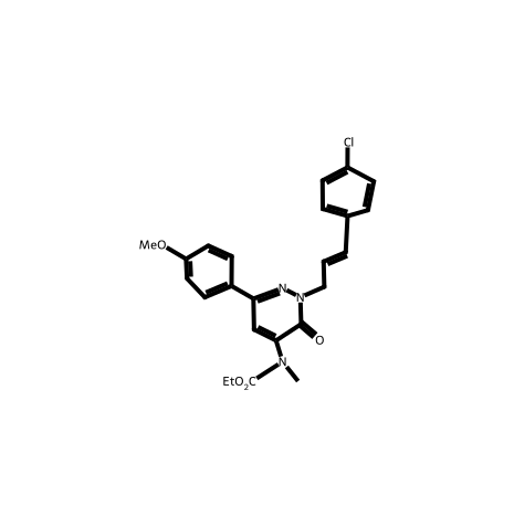 CCOC(=O)N(C)c1cc(-c2ccc(OC)cc2)nn(CC=Cc2ccc(Cl)cc2)c1=O